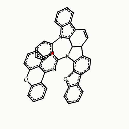 C1=CC2c3ccc4c(oc5ccccc54)c3N(c3nc4c5c(cccc5n3)Oc3ccccc3-4)C2c2c1c1ccccc1n2-c1ccccc1